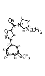 C[C@H]1CCN(C(=O)C2CC(c3cccc(C(F)(F)F)c3)=NO2)C1